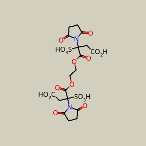 O=C(O)CC(C(=O)OCCOC(=O)C(CC(=O)O)(N1C(=O)CCC1=O)S(=O)(=O)O)(N1C(=O)CCC1=O)S(=O)(=O)O